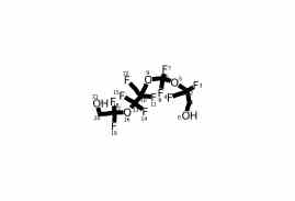 OCC(F)(F)OC(F)(F)OC(F)(F)C(F)(F)OC(F)(F)CO